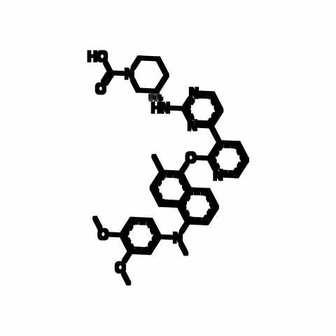 COc1ccc(N(C)c2cccc3c(Oc4ncccc4-c4ccnc(N[C@H]5CCCN(C(=O)O)C5)n4)c(C)ccc23)cc1OC